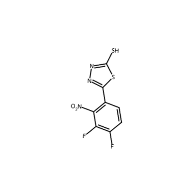 O=[N+]([O-])c1c(-c2nnc(S)s2)ccc(F)c1F